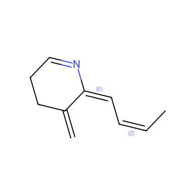 C=C1CCC=N/C1=C/C=C\C